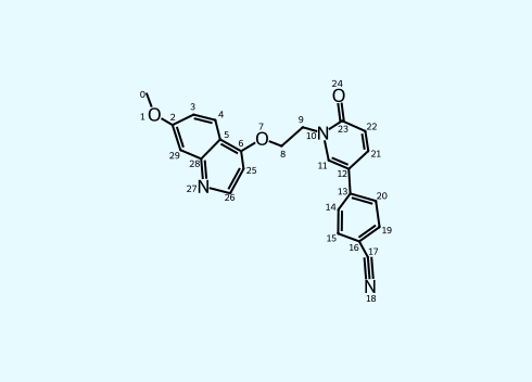 COc1ccc2c(OCCn3cc(-c4ccc(C#N)cc4)ccc3=O)ccnc2c1